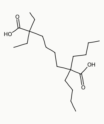 CCCCC(CCCC)(CCCCC(CC)(CC)C(=O)O)C(=O)O